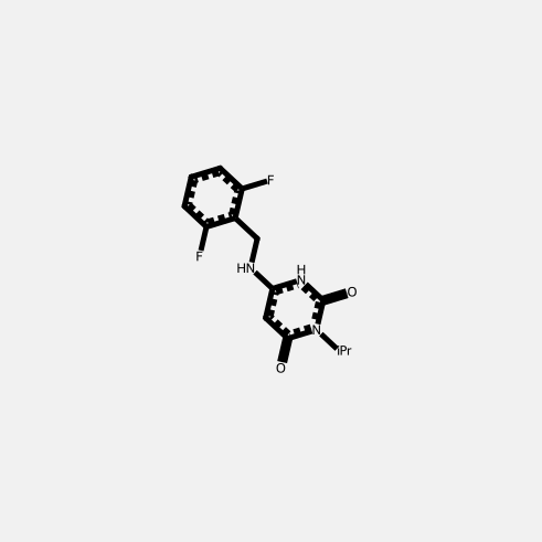 CC(C)n1c(=O)cc(NCc2c(F)cccc2F)[nH]c1=O